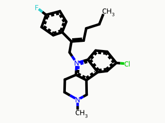 CCCC=C(Cn1c2c(c3cc(Cl)ccc31)CN(C)CC2)c1ccc(F)cc1